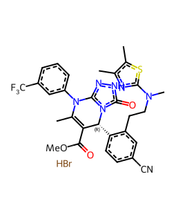 Br.COC(=O)C1=C(C)N(c2cccc(C(F)(F)F)c2)c2n[nH]c(=O)n2[C@@H]1c1ccc(C#N)cc1CCN(C)c1nc(C)c(C)s1